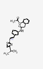 CC(=O)Oc1ccccc1CC(=O)Nc1cccc(/C=C/c2nc(C(C)C)cs2)c1